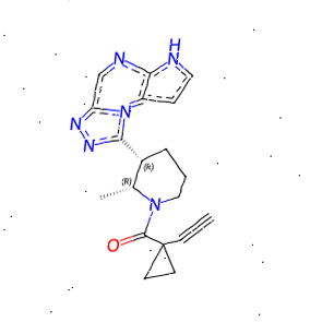 C#CC1(C(=O)N2CCC[C@@H](c3nnc4cnc5[nH]ccc5n34)[C@H]2C)CC1